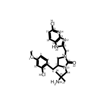 COc1ccc(CC2CN(Cc3nc4nc(Cl)ccc4[nH]3)C(=O)N2CC(C)(C)N)c(Cl)c1